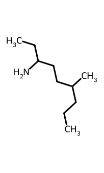 CCCC(C)CCC(N)CC